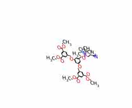 CCOC(=O)c1cc(COc2cc(COP(CCC#N)N(C(C)C)C(C)C)cc(OCc3cc(C(=O)OCC)cc(C(=O)OCC)c3)c2)cc(C(=O)OCC)c1